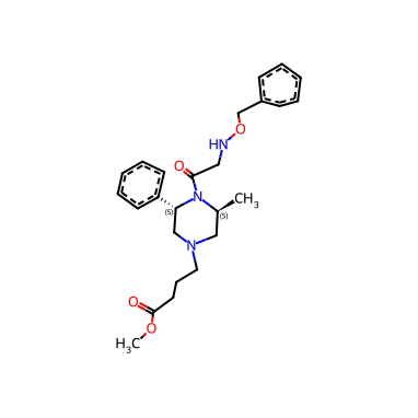 COC(=O)CCCN1C[C@H](c2ccccc2)N(C(=O)CNOCc2ccccc2)[C@@H](C)C1